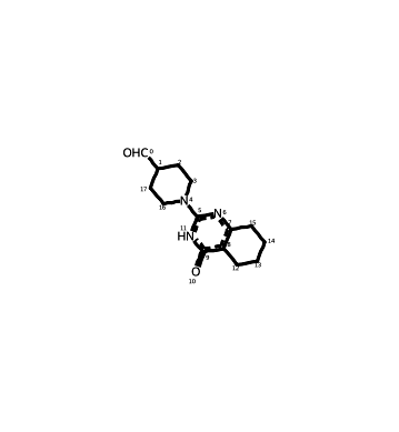 O=CC1CCN(c2nc3c(c(=O)[nH]2)CCCC3)CC1